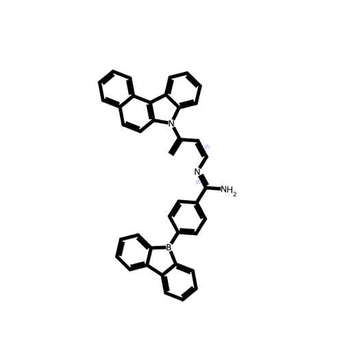 C=C(/C=C\N=C(/N)c1ccc(B2c3ccccc3-c3ccccc32)cc1)n1c2ccccc2c2c3ccccc3ccc21